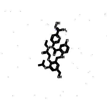 CCOC(=O)COc1c(CNc2ccc(Cl)cc2C(=O)Nc2ccc(/C(N)=N/O)nc2)cc(CO)cc1OC(C)C